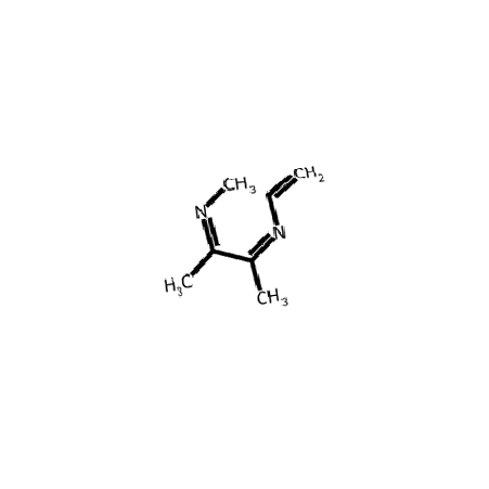 C=C/N=C(C)\C(C)=N/C